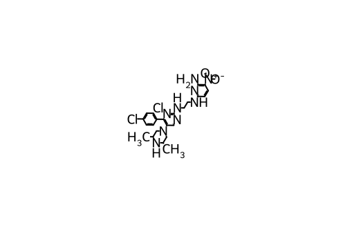 CC1CN(c2cnc(NCCNc3ccc([N+](=O)[O-])c(N)n3)nc2-c2ccc(Cl)cc2Cl)CC(C)N1